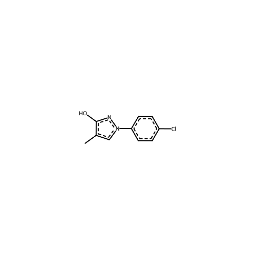 Cc1cn(-c2ccc(Cl)cc2)nc1O